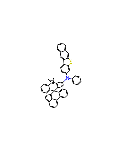 C[Si]1(C)c2ccccc2C2(c3ccccc3-c3cccc4cccc2c34)c2ccc(N(c3ccccc3)c3ccc4c(c3)sc3cc5ccccc5cc34)cc21